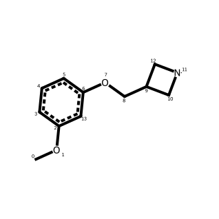 COc1cccc(OCC2C[N]C2)c1